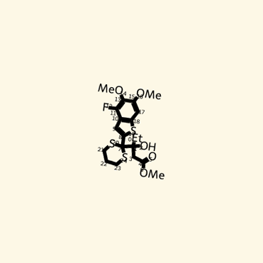 CCC(O)(CC(=O)OC)C1(c2cc3c(F)c(OC)c(OC)cc3s2)SCCCS1